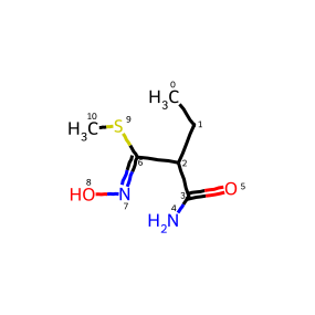 CCC(C(N)=O)C(=NO)SC